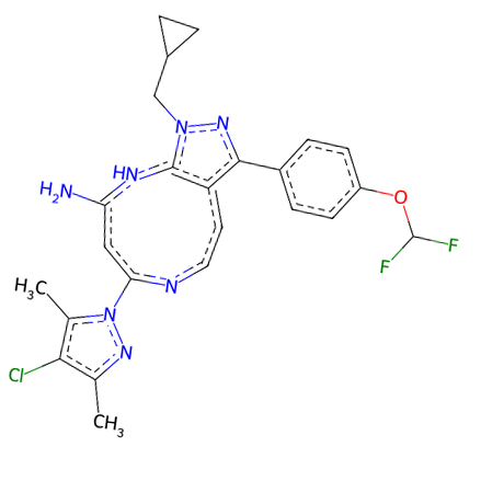 Cc1nn(-c2cc(N)[nH]c3c(ccn2)c(-c2ccc(OC(F)F)cc2)nn3CC2CC2)c(C)c1Cl